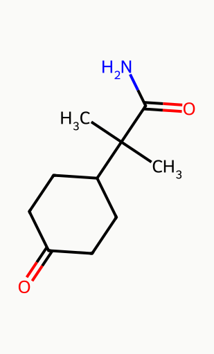 CC(C)(C(N)=O)C1CCC(=O)CC1